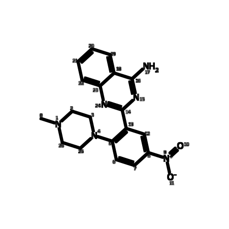 CN1CCN(c2ccc([N+](=O)[O-])cc2-c2nc(N)c3ccccc3n2)CC1